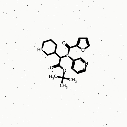 CC(C)(C)OC(=O)C(C1CCCNC1)N(C(=O)c1ccco1)c1cccnc1